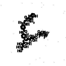 CCn1c(CNC(=O)c2nc3cc[nH]c3nc2N)[n+](CC)c2ccc(C(=O)N[C@H]3CC[C@@H](N(C[C@H](O)[C@@H](O)[C@H](O)[C@H](O)CO)C[C@H](O)[C@@H](O)[C@H](O)[C@H](O)CO)CC3)cc21.O=C(O)C(F)(F)F.O=C([O-])C(F)(F)F